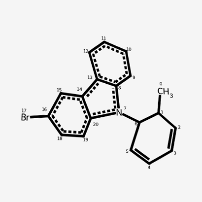 CC1C=CC=CC1n1c2ccccc2c2cc(Br)ccc21